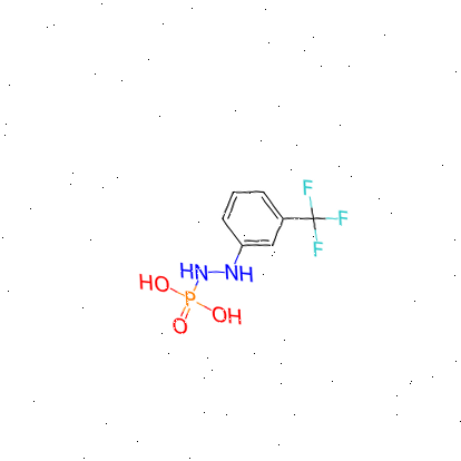 O=P(O)(O)NNc1cccc(C(F)(F)F)c1